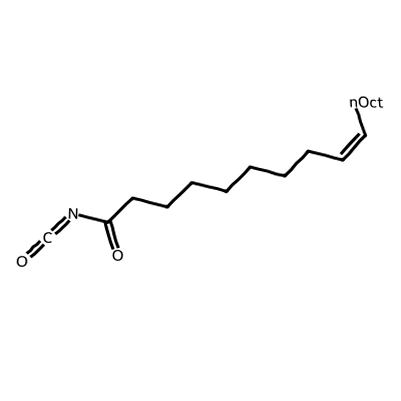 CCCCCCCC/C=C\CCCCCCCC(=O)N=C=O